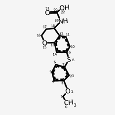 CCOc1cccc(Sc2ccc3c(c2)OCCC3NC(=O)O)c1